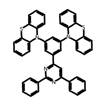 c1ccc(-c2cc(-c3cc(N4c5ccccc5Sc5ccccc54)cc(N4c5ccccc5Sc5ccccc54)c3)nc(-c3ccccc3)n2)cc1